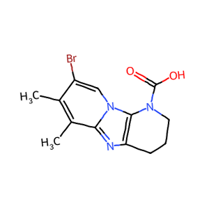 Cc1c(Br)cn2c3c(nc2c1C)CCCN3C(=O)O